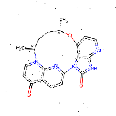 C[C@H]1CC[C@H](C)n2ccc(=O)c3ccc(nc32)-n2c(=O)[nH]c3nccc(c32)O1